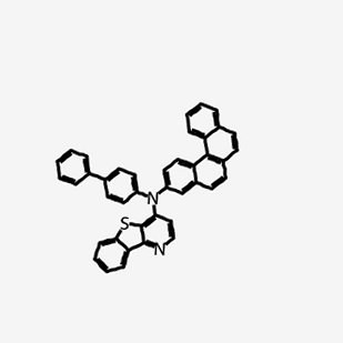 c1ccc(-c2ccc(N(c3ccc4c(ccc5ccc6ccccc6c54)c3)c3ccnc4c3sc3ccccc34)cc2)cc1